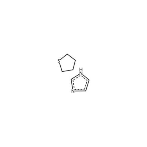 C1CCSC1.c1c[nH]cn1